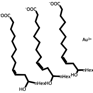 CCCCCCC(O)C/C=C\CCCCCCCC(=O)[O-].CCCCCCC(O)C/C=C\CCCCCCCC(=O)[O-].CCCCCCC(O)C/C=C\CCCCCCCC(=O)[O-].[Au+3]